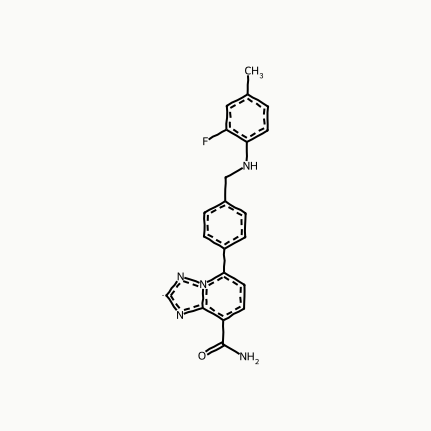 Cc1ccc(NCc2ccc(-c3ccc(C(N)=O)c4n[c]nn34)cc2)c(F)c1